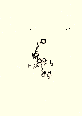 COc1cc(-c2nnc(CSCCOc3ccccc3)o2)cc(OC)c1OCCCN(C)C